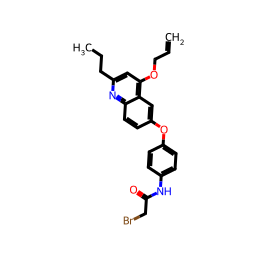 C=CCOc1cc(CCC)nc2ccc(Oc3ccc(NC(=O)CBr)cc3)cc12